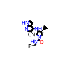 CC(C)CNC(=O)N1C[C@H](C2CC2)[C@H](Nc2c(C#N)cnc3[nH]ccc23)C1